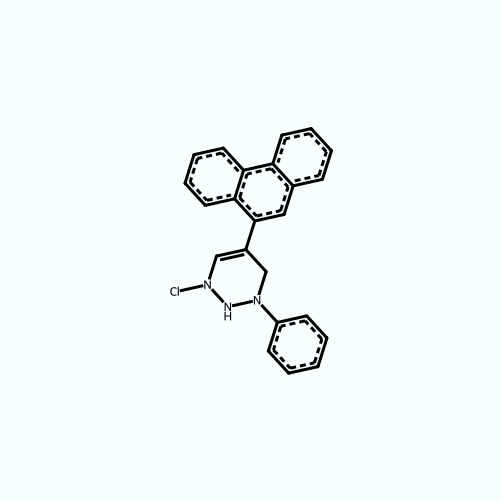 ClN1C=C(c2cc3ccccc3c3ccccc23)CN(c2ccccc2)N1